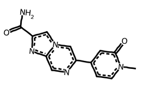 Cn1ccc(-c2cn3cc(C(N)=O)nc3cn2)cc1=O